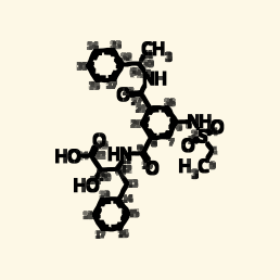 CCS(=O)(=O)Nc1cc(C(=O)N[C@@H](Cc2ccccc2)[C@@H](O)C(=O)O)cc(C(=O)N[C@H](C)c2ccccc2)c1